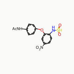 CC(=O)Nc1ccc(Oc2cc([N+](=O)[O-])ccc2N[SH](=O)=O)cc1